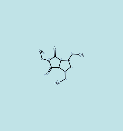 CCC1CC(CC)C2C(=O)N(CC)C(=O)C12